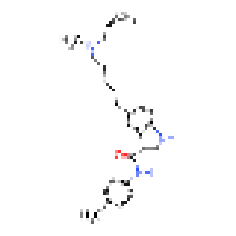 C=CCN(C)CCCCCc1ccc2c(c1)C(C(=O)Nc1ccc(C)cc1)CN2